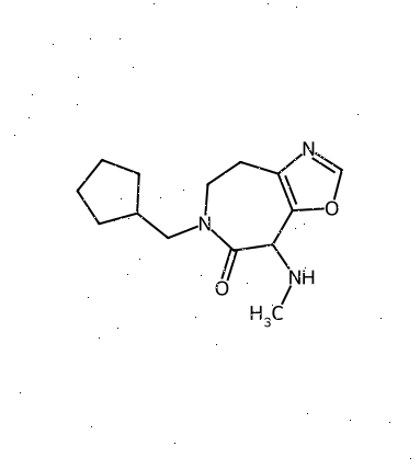 CNC1C(=O)N(CC2CCCC2)CCc2ncoc21